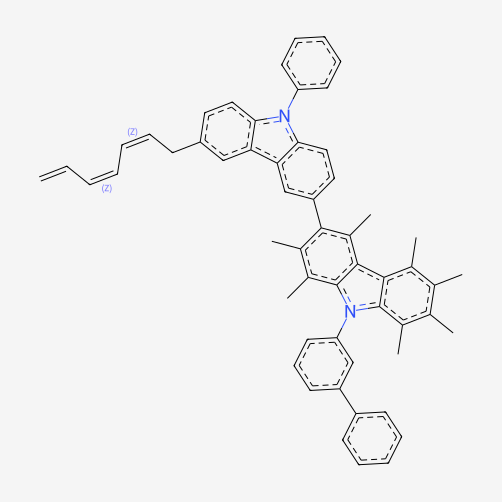 C=C/C=C\C=C/Cc1ccc2c(c1)c1cc(-c3c(C)c(C)c4c(c3C)c3c(C)c(C)c(C)c(C)c3n4-c3cccc(-c4ccccc4)c3)ccc1n2-c1ccccc1